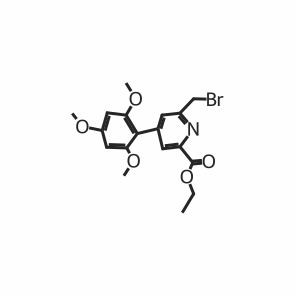 CCOC(=O)c1cc(-c2c(OC)cc(OC)cc2OC)cc(CBr)n1